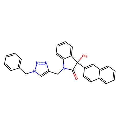 O=C1N(Cc2cn(Cc3ccccc3)nn2)c2ccccc2C1(O)c1ccc2ccccc2c1